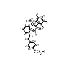 CCCCc1c(C)c(C)c(C)c(C)c1S(=O)(=O)N(C)c1ccccc1CCc1ccc(C(=O)O)cc1